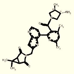 Cc1cc(C(F)(F)F)nc(-c2ccnc3cc(CN4C(=O)C5C(C4=O)C5(C)C)sc23)c1C(=O)N1C[C@@H](C)[C@H](N)C1